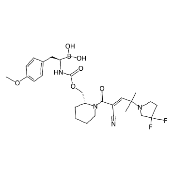 COc1ccc(C[C@H](NC(=O)OC[C@H]2CCCCN2C(=O)C(C#N)=CC(C)(C)N2CCC(F)(F)C2)B(O)O)cc1